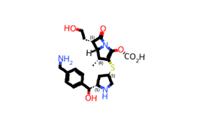 C[C@H]1C(S[C@@H]2CN[C@H](C(O)c3ccc(CN)cc3)C2)=C(OC(=O)O)N2C(=O)[C@@H](CCO)[C@@H]12